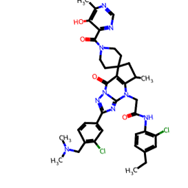 CCc1ccc(NC(=O)Cn2c3c(c(=O)n4nc(-c5ccc(CN(C)C)c(Cl)c5)nc24)C2(CCN(C(=O)c4ncnc(C)c4O)CC2)CC3C)c(Cl)c1